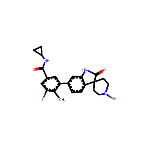 Cc1c(F)cc(C(=O)NC2CC2)cc1-c1ccc2c(c1)NC(=O)C21CCN(S)CC1